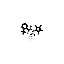 CC1=C(C)C(C)[C]([Zr+2]([NH]C(=O)c2ccccc2C(C)(C)C)[SiH](C)C)=C1C.[Cl-].[Cl-]